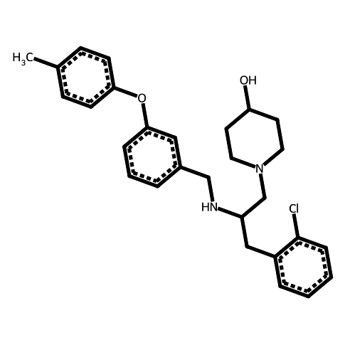 Cc1ccc(Oc2cccc(CNC(Cc3ccccc3Cl)CN3CCC(O)CC3)c2)cc1